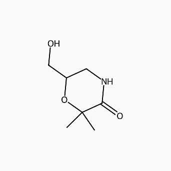 CC1(C)OC(CO)CNC1=O